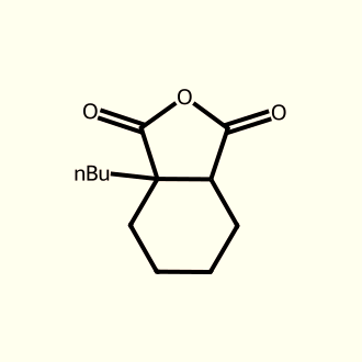 CCCCC12CCCCC1C(=O)OC2=O